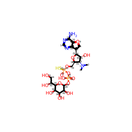 CN(C)[C@H]1[C@@H](O)[C@H](c2coc3c(N)ncnc23)O[C@@H]1COP(=O)(S)OP(=O)(O)OC1OC([C@@H](O)CO)C(O)C(O)C1O